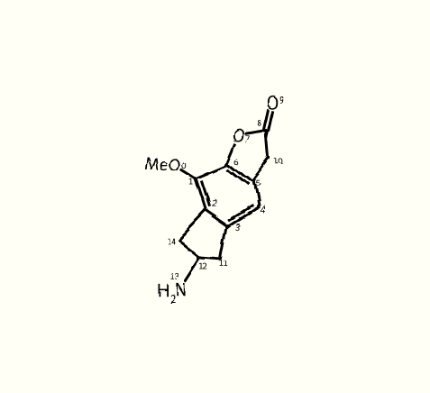 COc1c2c(cc3c1OC(=O)C3)CC(N)C2